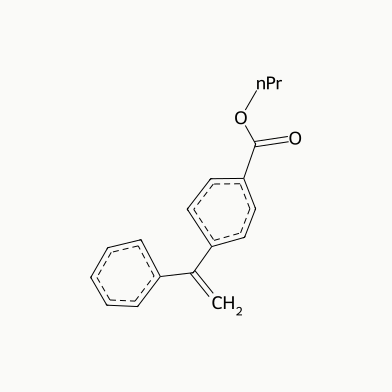 C=C(c1ccccc1)c1ccc(C(=O)OCCC)cc1